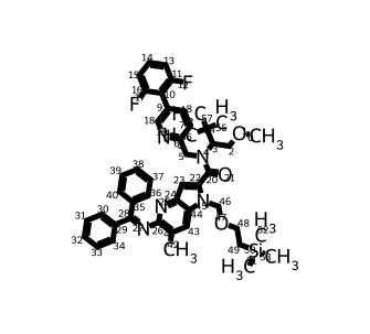 COCC(N(Cc1ccc(-c2c(F)cccc2F)cn1)C(=O)c1cc2nc(N=C(c3ccccc3)c3ccccc3)c(C)cc2n1COCC[Si](C)(C)C)C(C)(C)C